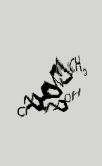 CN1CCN(c2ccc(-c3cnc(Cl)cc3N3CCC[C@H](O)C3)cc2)CC1